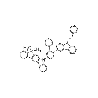 CC1(C)c2ccccc2-c2cc3c4ccccc4n(-c4ccc(-c5ccc6c(c5)-c5ccccc5C6CCc5ccccc5)c(-c5ccccc5)c4)c3cc21